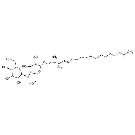 CCCCCCCCCCCCC/C=C/[C@@H](O)[C@@H](N)CO[C@@H]1OC(CO)[C@@H](O[C@@H]2OC(CO)[C@H](O)C(O)C2O)C(O)C1O